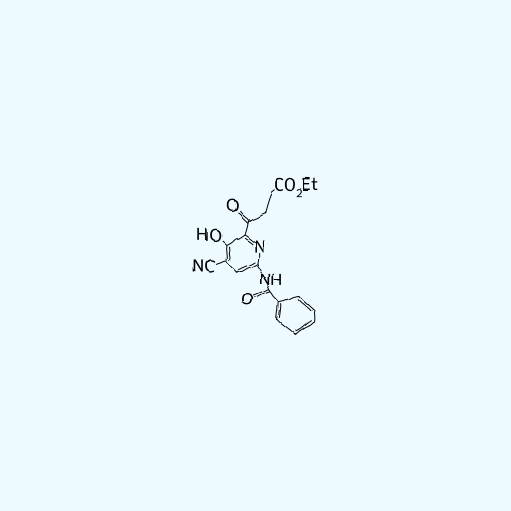 CCOC(=O)CCC(=O)c1nc(NC(=O)c2ccccc2)cc(C#N)c1O